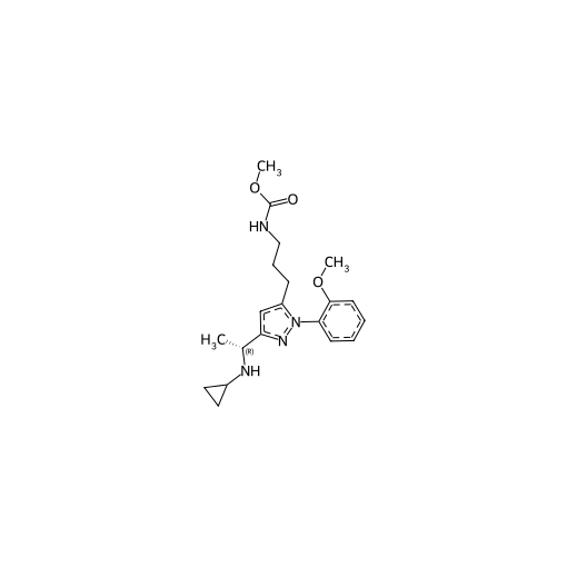 COC(=O)NCCCc1cc([C@@H](C)NC2CC2)nn1-c1ccccc1OC